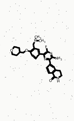 CN(C)Cc1cc(-c2nc(-c3ccc4c(c3)CCNC4=O)c(N)nc2F)ccc1OCC1CCOCC1